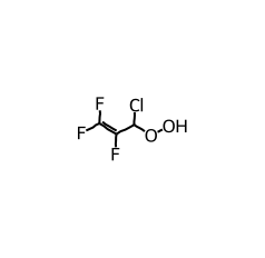 OOC(Cl)C(F)=C(F)F